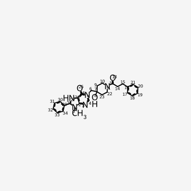 CN1c2ncn(CC3(O)CCN(C(=O)CCc4ccccc4)CC3)c(=O)c2NC1c1ccccc1